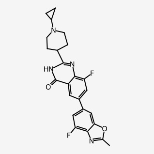 Cc1nc2c(F)cc(-c3cc(F)c4nc(C5CCN(C6CC6)CC5)[nH]c(=O)c4c3)cc2o1